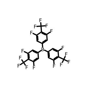 Fc1cc(B(c2cc(F)c(C(F)(F)F)c(F)c2)c2cc(F)c(C(F)(F)F)c(F)c2)cc(F)c1C(F)(F)F